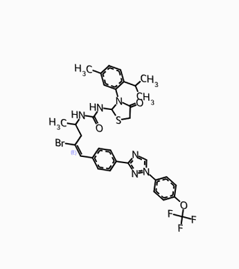 Cc1ccc(C(C)C)c(N2C(=O)CSC2NC(=O)NC(C)C/C(Br)=C\c2ccc(-c3ncn(-c4ccc(OC(F)(F)F)cc4)n3)cc2)c1